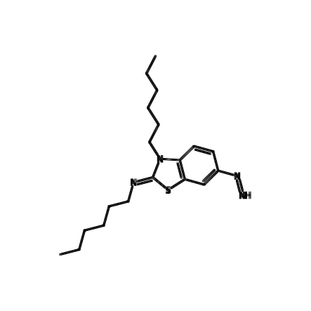 CCCCCC/N=c1\sc2cc(N=N)ccc2n1CCCCCC